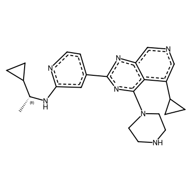 C[C@@H](Nc1cc(-c2nc(N3CCNCC3)c3c(C4CC4)cncc3n2)ccn1)C1CC1